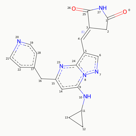 O=C1C/C(=C\c2cnn3c(NC4CC4)cc(Cc4ccncc4)nc23)C(=O)N1